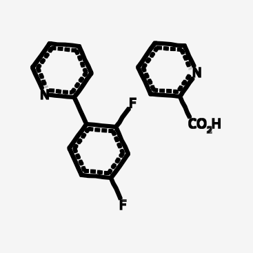 Fc1ccc(-c2ccccn2)c(F)c1.O=C(O)c1ccccn1